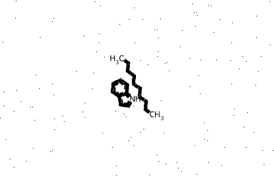 CCCCCCCCCC.c1ccc2[nH]ccc2c1